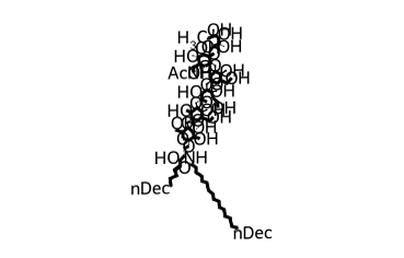 CCCCCCCCCCCCC/C=C/[C@@H](O)[C@H](CO[C@@H]1OC(CO)[C@@H](O[C@@H]2OC(CO)[C@H](O)[C@H](O[C@H]3OC(CO)[C@H](O)[C@H](O[C@@H]4OC(CO)[C@H](O)[C@H](O[C@@H]5OC(CO)[C@H](O)[C@H](O)C5O[C@H]5OC(C)[C@@H](O)C(O)[C@@H]5O)C4NC(C)=O)C3O)C2O)[C@H](O)C1O)NC(=O)CCCCCCCCCCCCCCCCCCCCCCCCC